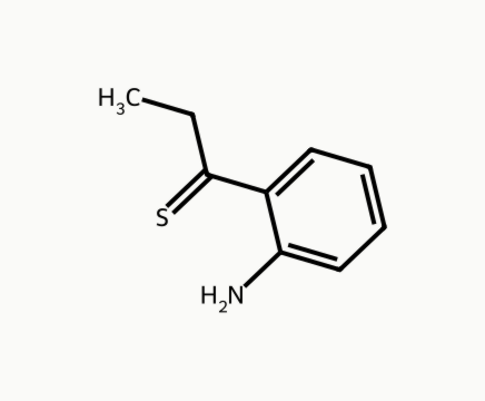 CCC(=S)c1ccccc1N